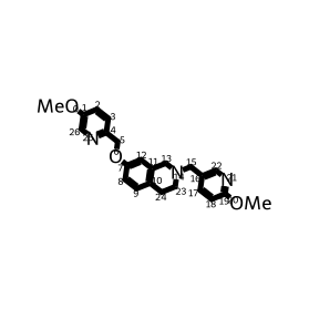 COc1ccc(COc2ccc3c(c2)CN(Cc2ccc(OC)nc2)CC3)nc1